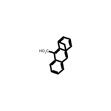 O=C(O)c1c2ccccc2c2c3cccc(c13)C2